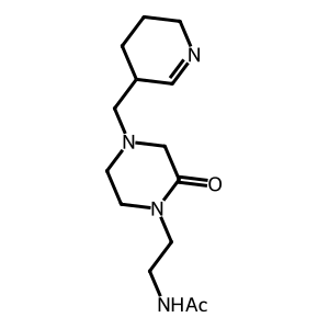 CC(=O)NCCN1CCN(CC2C=NCCC2)CC1=O